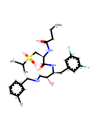 CCCC(CCC)S(=O)(=O)C[C@@H](NC(=O)CCOC)C(=O)N[C@@H](Cc1cc(F)cc(F)c1)[C@H](O)CNCc1cccc(CC)c1